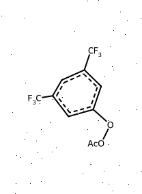 CC(=O)OOc1cc(C(F)(F)F)cc(C(F)(F)F)c1